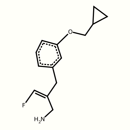 NCC(=CF)Cc1cccc(OCC2CC2)c1